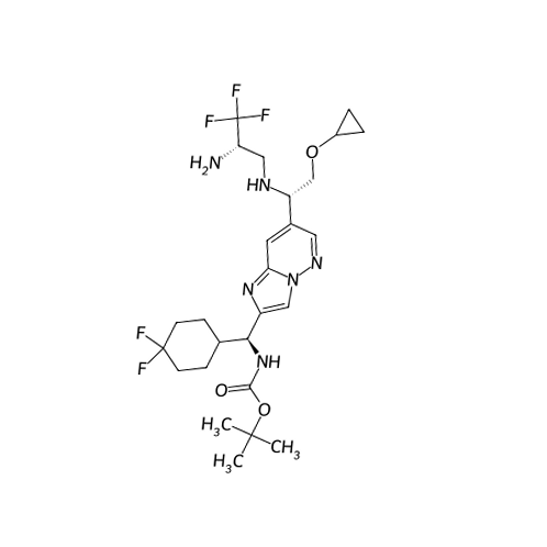 CC(C)(C)OC(=O)N[C@H](c1cn2ncc([C@@H](COC3CC3)NC[C@H](N)C(F)(F)F)cc2n1)C1CCC(F)(F)CC1